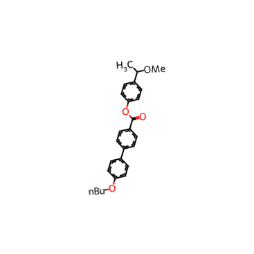 CCCCOc1ccc(-c2ccc(C(=O)Oc3ccc(C(C)OC)cc3)cc2)cc1